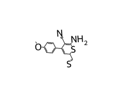 COc1ccc(C2=CC(C=S)SC(N)=C2C#N)cc1